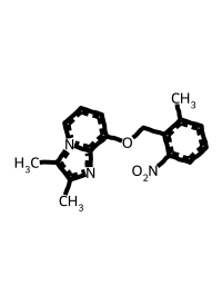 Cc1cccc([N+](=O)[O-])c1COc1cccn2c(C)c(C)nc12